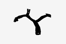 CCC(=O)N[N]